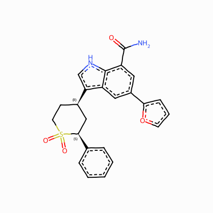 NC(=O)c1cc(-c2ccco2)cc2c([C@@H]3CCS(=O)(=O)[C@H](c4ccccc4)C3)c[nH]c12